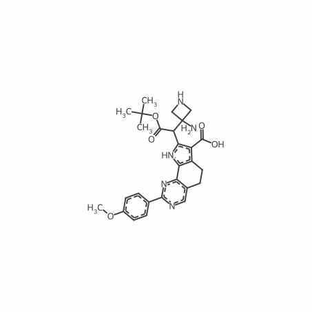 COc1ccc(-c2ncc3c(n2)-c2[nH]c(C(C(=O)OC(C)(C)C)C4(N)CNC4)c(C(=O)O)c2CC3)cc1